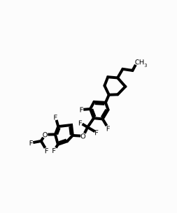 CCCC1CCC(c2cc(F)c(C(F)(F)Oc3cc(F)c(OC(F)F)c(F)c3)c(F)c2)CC1